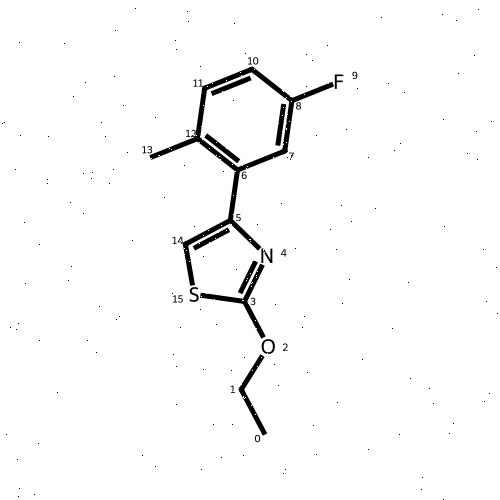 CCOc1nc(-c2cc(F)ccc2C)cs1